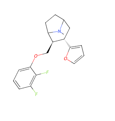 CN1C2CCC1[C@H](COc1cccc(F)c1F)[C@@H](c1ccco1)C2